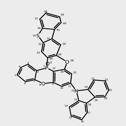 O=P12c3ccccc3Oc3cc(-n4c5ccccc5c5ccccc54)cc(c31)Oc1cc3c(cc12)sc1ccccc13